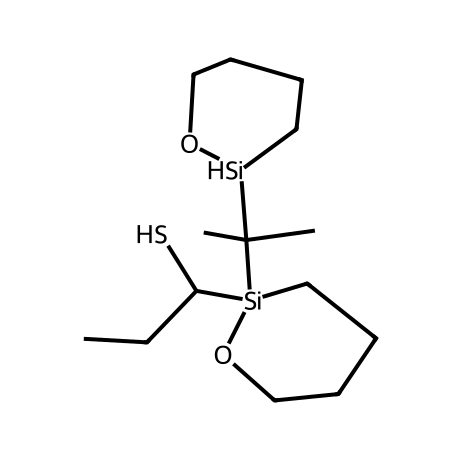 CCC(S)[Si]1(C(C)(C)[SiH]2CCCCO2)CCCCO1